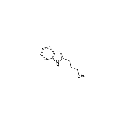 CC(=O)OCCCc1cc2ccccc2[nH]1